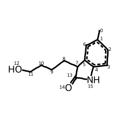 Cc1ccc2c(c1)C(CCCCO)C(=O)N2